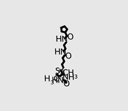 C[C@]12CS[C@@H](CCCCC(=O)NCCCNC(=O)C3CCCC3)[C@@]1(C)NC(=O)N2